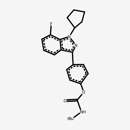 CC(C)(C)NC(=O)Oc1ccc(-c2nn(C3CCCC3)c3c(F)cccc23)cc1